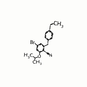 CCc1ccc(Cc2cc(Br)cc(OC(C)C)c2C#N)cc1